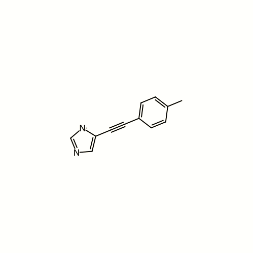 Cc1ccc(C#CC2=CN=C[N]2)cc1